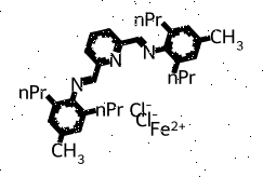 CCCc1cc(C)cc(CCC)c1N=Cc1cccc(C=Nc2c(CCC)cc(C)cc2CCC)n1.[Cl-].[Cl-].[Fe+2]